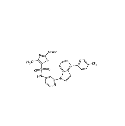 CC(=O)Nc1nc(C)c(S(=O)(=O)Nc2cccc(-n3ccc4c(-c5ccc(C(F)(F)F)cc5)cccc43)c2)s1